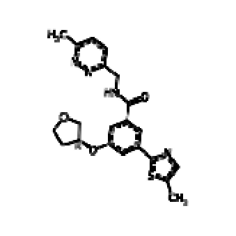 Cc1ccc(CNC(=O)c2cc(O[C@H]3CCOC3)cc(-c3ncc(C)s3)c2)nn1